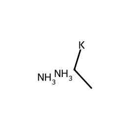 C[CH2][K].N.N